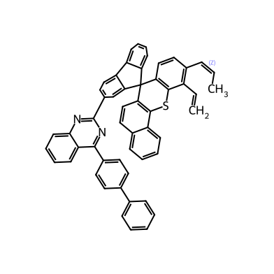 C=Cc1c(/C=C\C)ccc2c1Sc1c(ccc3ccccc13)C21c2ccccc2-c2ccc(-c3nc(-c4ccc(-c5ccccc5)cc4)c4ccccc4n3)cc21